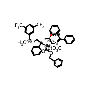 CCOC(=O)[C@@H](N=C(c1ccccc1)c1ccccc1)[C@@H](C[C@](CO[C@H](C)c1cc(C(F)(F)F)cc(C(F)(F)F)c1)(NC(=O)OCc1ccccc1)c1ccccc1)NC